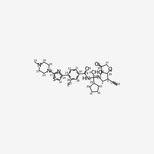 C#CC1CN(C(C=O)(NC(=O)c2ccc(-c3csc(N4CCN(C)CC4)n3)c(F)c2)C2CCCC2)C2C(=O)COC12